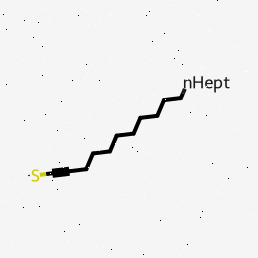 CCCCCCCCCCCCCCCCC#C[S]